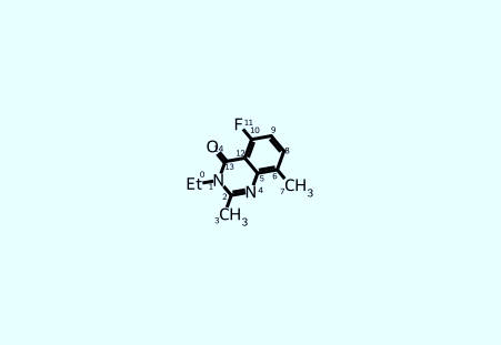 CCn1c(C)nc2c(C)ccc(F)c2c1=O